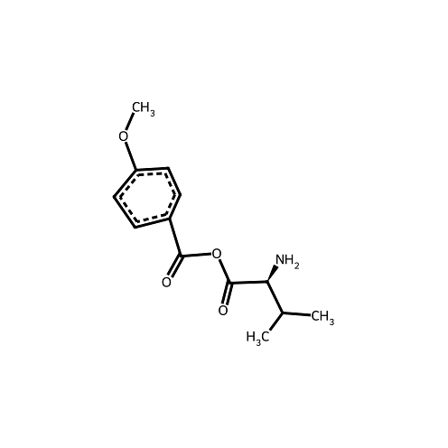 COc1ccc(C(=O)OC(=O)[C@@H](N)C(C)C)cc1